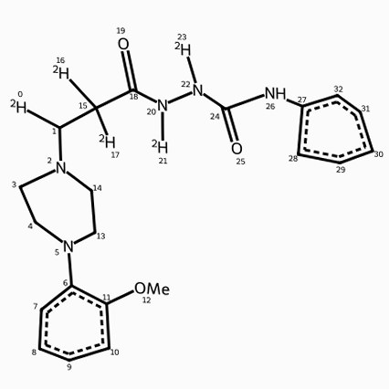 [2H]C(N1CCN(c2ccccc2OC)CC1)C([2H])([2H])C(=O)N([2H])N([2H])C(=O)Nc1ccccc1